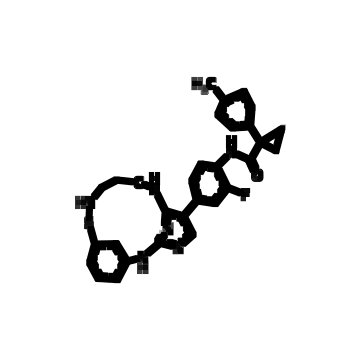 Cc1ccc(C2(C(=O)Nc3ccc(-c4cnc5nc4NCCCNSc4cccc(c4)N5)cc3F)CC2)cc1